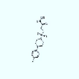 O=C(CCS(=O)(=O)N1CCN(c2ccc(F)cc2)CC1)NO